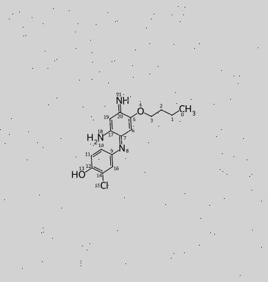 CCCCOC1=C/C(=N/c2ccc(O)c(Cl)c2)C(N)=CC1=N